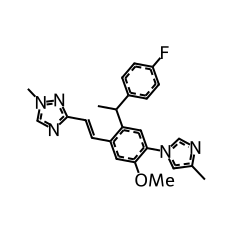 COc1cc(C=Cc2ncn(C)n2)c(C(C)c2ccc(F)cc2)cc1-n1cnc(C)c1